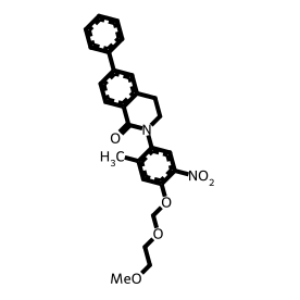 COCCOCOc1cc(C)c(N2CCc3cc(-c4ccccc4)ccc3C2=O)cc1[N+](=O)[O-]